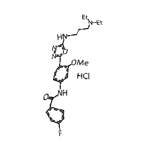 CCN(CC)CCCNc1nnc(-c2ccc(NC(=O)c3ccc(F)cc3)cc2OC)o1.Cl